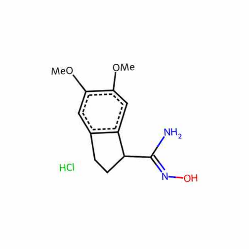 COc1cc2c(cc1OC)C(/C(N)=N/O)CC2.Cl